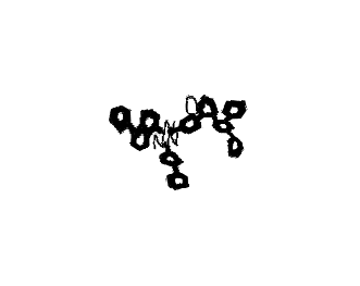 c1ccc(-c2ccc(-c3nc(-c4ccc5c(c4)oc4cccc(-c6ccc(-c7ccccc7)cc6-c6ccccc6)c45)nc(-c4cccc5c(-c6ccccc6)cccc45)n3)cc2)cc1